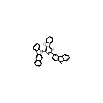 C1=CC2Sc3ccc(-c4nc(-n5c6ccccc6c6cc7ccccc7cc65)c5oc6ccccc6c5n4)cc3C2C=C1